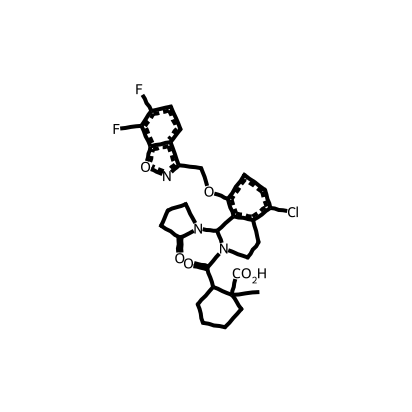 CC1(C(=O)O)CCCCC1C(=O)N1CCc2c(Cl)ccc(OCc3noc4c(F)c(F)ccc34)c2C1N1CCCC1=O